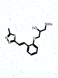 CNCC(O)COc1ccccc1C=Cc1nnc(C)s1